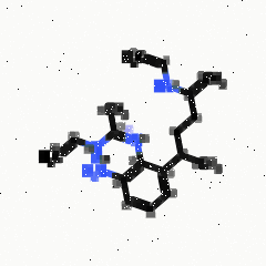 C=CNC(=C)CCC(C)c1cccc(N)c1/N=C(/C)NC=C